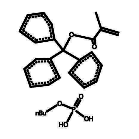 C=C(C)C(=O)OC(c1ccccc1)(c1ccccc1)c1ccccc1.CCCCOP(=O)(O)O